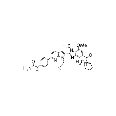 COc1cc(C(=O)N2CC3CCC2[C@@H]3C)cc2nc(-c3cc4ccc(-c5ccc(NC(N)=O)cc5)nc4n3CC3CC3)n(C)c12